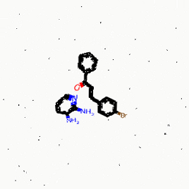 Nc1cccnc1N.O=C(C=Cc1ccc(Br)cc1)c1ccccc1